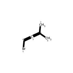 CC(C)=C=CBr